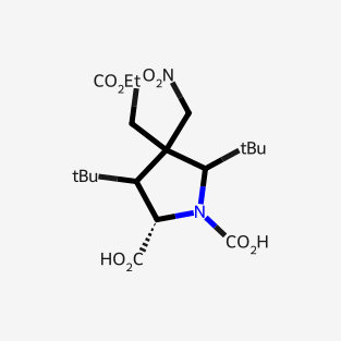 CCOC(=O)CC1(C[N+](=O)[O-])C(C(C)(C)C)[C@@H](C(=O)O)N(C(=O)O)C1C(C)(C)C